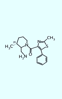 Cc1nc(C(=O)N2CCC[C@@H](C)C2CN)c(-c2ccccc2)s1